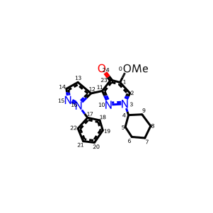 COc1cn(C2CCCCC2)nc(-c2ccnn2-c2ccccc2)c1=O